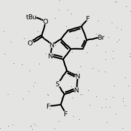 CC(C)(C)OC(=O)n1nc(-c2nnc(C(F)F)s2)c2cc(Br)c(F)cc21